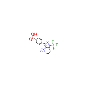 O=C(O)c1ccc(-n2nc(C(F)(F)F)c3c2NCCC3)cc1